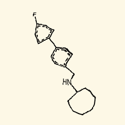 Fc1ccc(-c2ccc(CNC3CCCCCC3)cc2)cc1